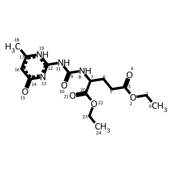 CCOC(=O)CCC(NC(=O)Nc1nc(=O)cc(C)[nH]1)C(=O)OCC